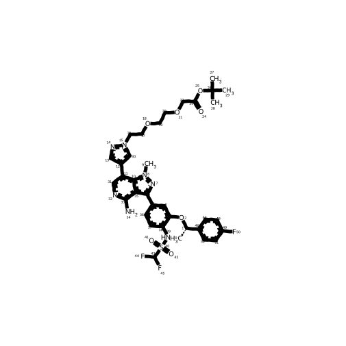 C[C@H](Oc1cc(-c2nn(C)c3c(-c4cnn(CCOCCOCC(=O)OC(C)(C)C)c4)cnc(N)c23)ccc1NS(=O)(=O)C(F)F)c1ccc(F)cc1